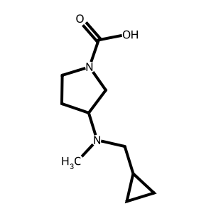 CN(CC1CC1)C1CCN(C(=O)O)C1